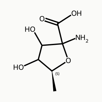 C[C@@H]1OC(N)(C(=O)O)C(O)C1O